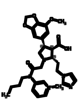 CCCCN(C(=O)CN1C[C@H](c2cc(OC)c3c(c2)OCO3)[C@@H](C(=O)O)[C@@H]1CCn1ccnc1)c1ccc[n+](C)c1